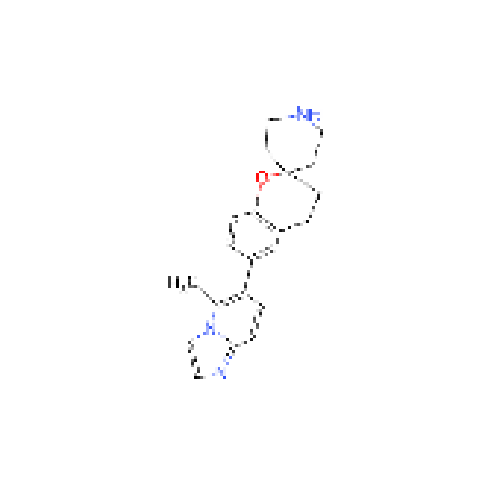 Cc1c(-c2ccc3c(c2)CCC2(CCNCC2)O3)ccc2nccn12